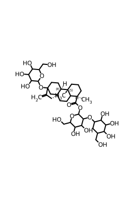 C=C1C[C@@]23CCC4[C@](C)(C(=O)OC5OC(CO)C(O)C(O)C5OC5CC(CO)C(O)C(O)C5O)CCC[C@@]4(C)[C@@H]2CCC1(OC1OC(CO)C(O)C(O)C1O)C3